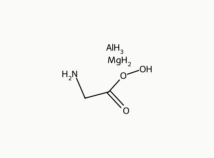 NCC(=O)OO.[AlH3].[MgH2]